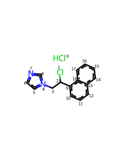 Cl.ClC(Cn1ccnc1)c1cccc2ccccc12